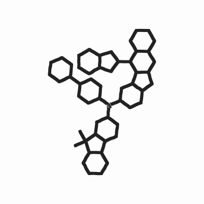 CC1(C)C2CCCCC2C2CCC(N(C3CCC(C4CCCCC4)CC3)C3CCC4CC5CC6CCCCC6C(C6CC7CCCCC7C6)C5C4C3)CC21